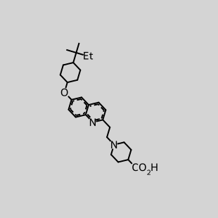 CCC(C)(C)C1CCC(Oc2ccc3nc(CCN4CCC(C(=O)O)CC4)ccc3c2)CC1